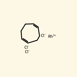 C1=CCCC=CCC1.[Cl-].[Cl-].[Cl-].[Rh+3]